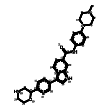 CN1CCN(c2ccc(NC(=O)c3ccc4c(-c5ccc(C6CNCCO6)nc5)c[nH]c4c3)cc2)CC1